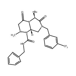 CCCC[C@H]1C(=O)N(Cc2cccc(C(F)(F)F)c2)C[C@H]2N1C(=O)CN(C)N2C(=O)NCc1ccccc1